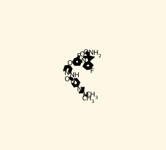 CN(C)C1CN(C2CCN(C(=O)Nc3cc(Oc4ccc(N(C(=O)C5(C(N)=O)CC5)c5ccc(F)cc5)c(F)c4)ccn3)CC2)C1